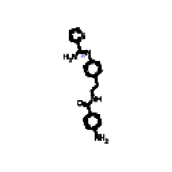 N/C(=N\c1ccc(CCNC(=O)c2ccc(N)cc2)cc1)c1cccs1